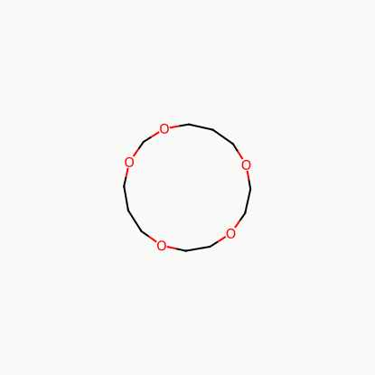 C1COCCOCCOCCCOCOC1